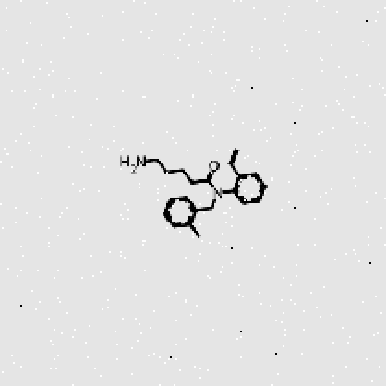 C=Cc1ccccc1N(Cc1ccccc1C)C(=O)CCCCN